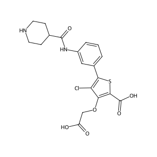 O=C(O)COc1c(C(=O)O)sc(-c2cccc(NC(=O)C3CCNCC3)c2)c1Cl